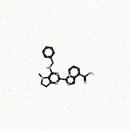 CN1CCc2nc(-c3ncc4c(C(N)=O)cccn34)nc(NCc3ccccc3)c21